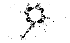 Cc1cc2c(O)c(c1)CN(CC(=O)O)Cc1cccc(n1)CN(CC(=O)NCCOCCOCCC(=O)O)Cc1cc(C)cc(c1O)CN(CC(=O)O)Cc1cccc(n1)CN(CC(=O)O)C2